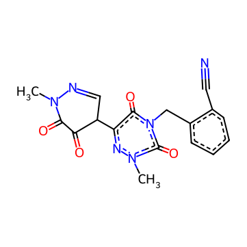 CN1N=CC(c2nn(C)c(=O)n(Cc3ccccc3C#N)c2=O)C(=O)C1=O